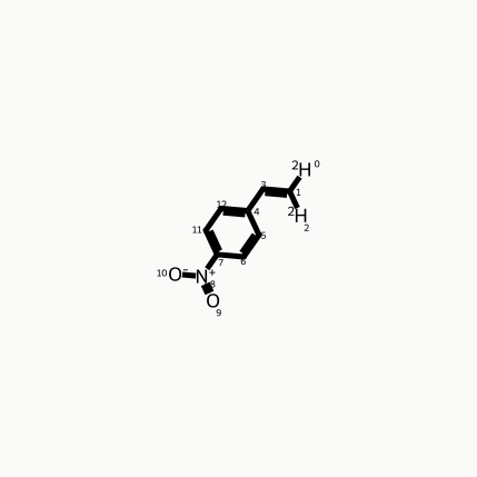 [2H]C([2H])=Cc1ccc([N+](=O)[O-])cc1